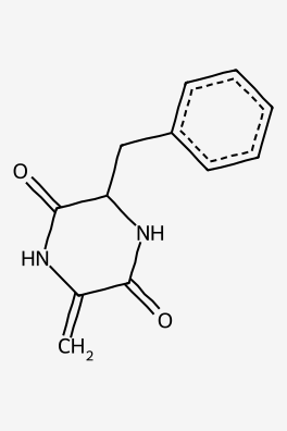 C=C1NC(=O)C(Cc2ccccc2)NC1=O